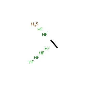 CC.F.F.F.F.F.F.S